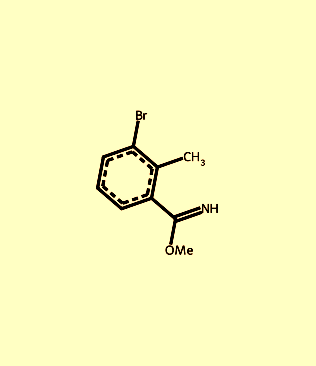 COC(=N)c1cccc(Br)c1C